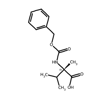 CC(C)[C@](C)(NC(=O)OCc1ccccc1)C(=O)O